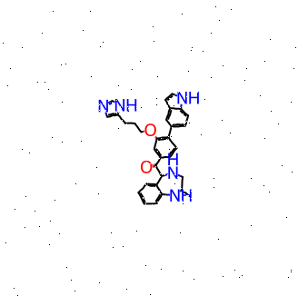 CC1CNC(C(=O)c2ccc(-c3ccc4[nH]ccc4c3)c(OCCCc3cnc[nH]3)c2)c2ccccc2N1